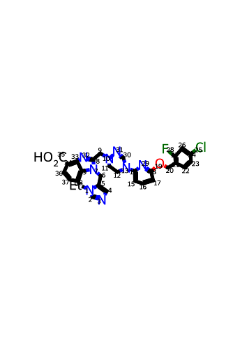 CCn1cncc1Cn1c(CN2CCN(c3cccc(OCc4ccc(Cl)cc4F)n3)C=N2)nc2c(C(=O)O)cccc21